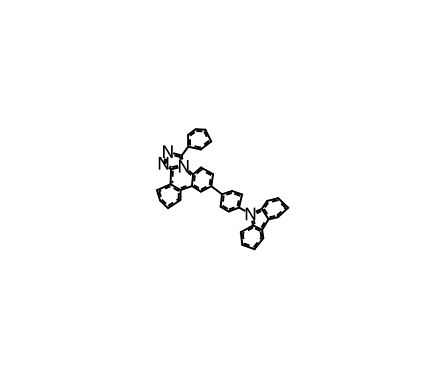 c1ccc(-c2nnc3c4ccccc4c4cc(-c5ccc(-n6c7ccccc7c7ccccc76)cc5)ccc4n23)cc1